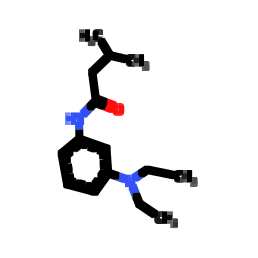 CCN(CC)c1cccc(NC(=O)CC(C)C)c1